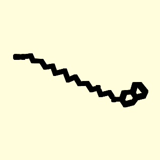 O=CCCCCCCCCCCCCOCCOc1ccc2ccccc2c1